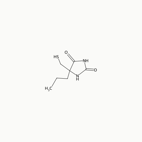 CCCC1(CS)NC(=O)NC1=O